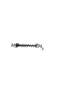 CCCCCCCCCCCCCCCCCCOS